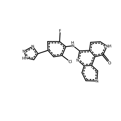 O=c1[nH]ccc2c(Nc3c(F)cc(-c4c[nH]nn4)cc3Cl)nc3ccncc3c12